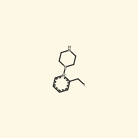 ICc1cccc[n+]1N1CCNCC1